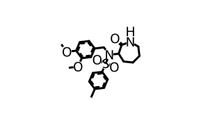 COc1ccc(CN(C2CCCCNC2=O)S(=O)(=O)c2ccc(C)cc2)cc1OC